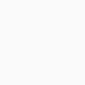 c1cncc(CN2CCN(c3nc(-c4ccncc4)nc4sc5c(c34)CCCC5)CC2)c1